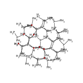 PPP(P(P)P)P(P(P(P)P)P(P)P)P(P(P(P)P)P(P)P)P(P(P(P(P(P)P)P(P)P)P(P(P)P)P(P)P)P(P(P(P)P)P(P)P)P(P(P)P)P(P)P)P(P(P(P(P)P)P(P)P)P(P(P)P)P(P)P)P(P(P(P)P)P(P)P)P(P(P)P)P(P)P